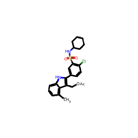 CC(=O)OCc1c(-c2ccc(Cl)c(S(=O)(=O)NC3CCCCC3)c2)[nH]c2cccc(C)c12